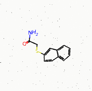 NC(=O)CSc1ccc2ccccc2c1